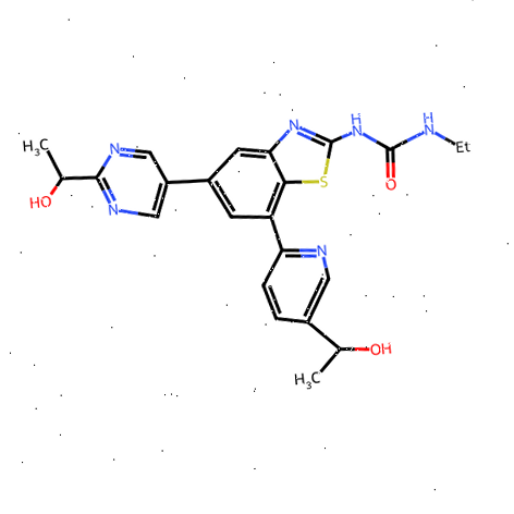 CCNC(=O)Nc1nc2cc(-c3cnc(C(C)O)nc3)cc(-c3ccc(C(C)O)cn3)c2s1